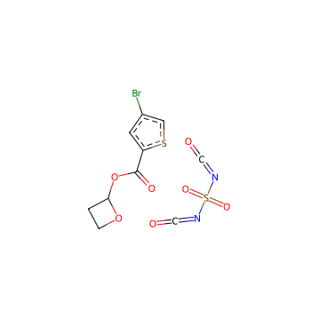 O=C(OC1CCO1)c1cc(Br)cs1.O=C=NS(=O)(=O)N=C=O